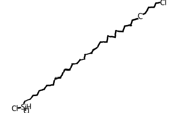 ClCCCCCCCCCCCCCCCCCCCCCCCCCCCCCCCCCCC[SiH](Cl)Cl